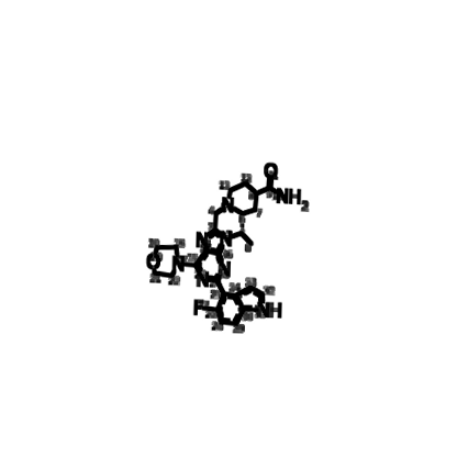 CCn1c(CN2CCC(C(N)=O)CC2)nc2c(N3CCOCC3)nc(-c3c(F)ccc4[nH]ccc34)nc21